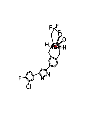 Cn1nc(-c2ccc3c(c2)C[C@H]2CC[C@@H](C3)[C@]23CN(CC(F)(F)F)S(=O)(=O)N3)cc1-c1ccc(F)c(Cl)c1